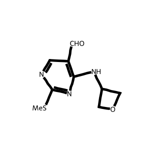 CSc1ncc(C=O)c(NC2COC2)n1